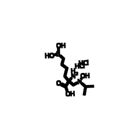 CC(C)N(O)CC(N)(CCCCB(O)O)C(=O)O.Cl.Cl